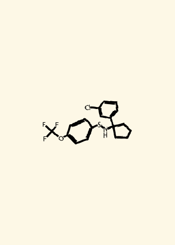 FC(F)(F)Oc1ccc(SNC2(c3cccc(Cl)c3)CCCC2)cc1